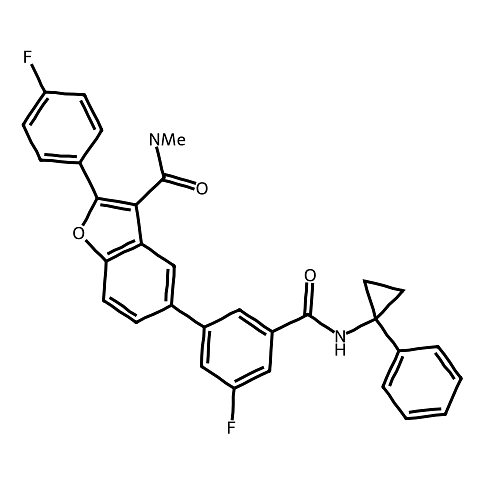 CNC(=O)c1c(-c2ccc(F)cc2)oc2ccc(-c3cc(F)cc(C(=O)NC4(c5ccccc5)CC4)c3)cc12